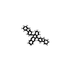 C1=Cc2c(sc3cc(-c4c5ccccc5c(-c5ccc6c(c5)sc5ccccc56)c5cc6ccccc6cc45)ccc23)CC1